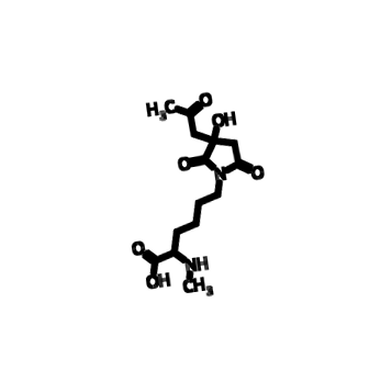 CNC(CCCCN1C(=O)CC(O)(CC(C)=O)C1=O)C(=O)O